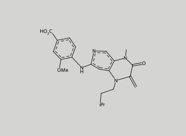 C=C1C(=O)N(C)c2cnc(Nc3ccc(C(=O)O)cc3OC)cc2N1CCC(C)C